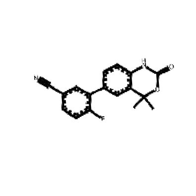 CC1(C)OC(=O)Nc2ccc(-c3cc(C#N)ccc3F)cc21